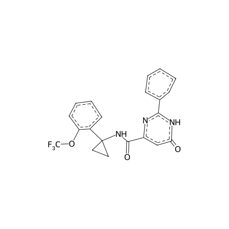 O=C(NC1(c2ccccc2OC(F)(F)F)CC1)c1cc(=O)[nH]c(-c2ccccc2)n1